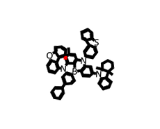 Cc1cc2c3c(c1)N(c1cccc4oc5ccccc5c14)c1cc(-c4ccccc4)ccc1B3c1ccc(N3c4ccccc4C4(C)CCCCC34C)cc1N2c1ccc2sc3ccccc3c2c1